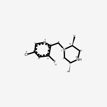 C[C@@H]1CN(Cc2ncc(Cl)cc2F)[C@@H](C)CN1